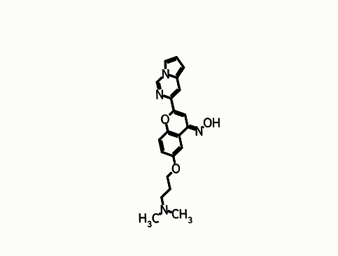 CN(C)CCCOc1ccc2oc(-c3cc4cccn4cn3)cc(=NO)c2c1